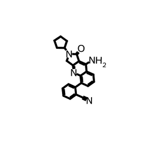 N#Cc1ccccc1-c1cccc2c(N)c3c(nc12)CN(C1CCCC1)C3=O